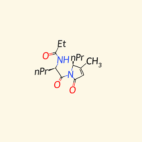 CCC[C@@H](NC(=O)CC)C(=O)N1C(=O)C=C(C)[C@@H]1CCC